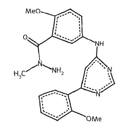 COc1ccc(Nc2cc(-c3ccccc3OC)ncn2)cc1C(=O)N(C)N